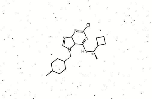 CC1CCC(CN2C=NC3N=C(Cl)N=C(N[C@H](C)C4CCC4)C32)CC1